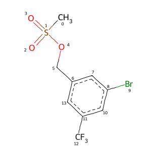 CS(=O)(=O)OCc1cc(Br)cc(C(F)(F)F)c1